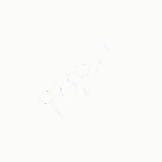 Cn1c(-c2cc3cccc(C#N)c3n2Cc2ccno2)nc2cc3c(cc21)CCN(CC(N)CF)C3=O